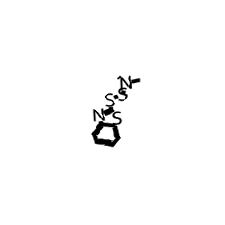 CN(C)SSc1nc2ccccc2s1